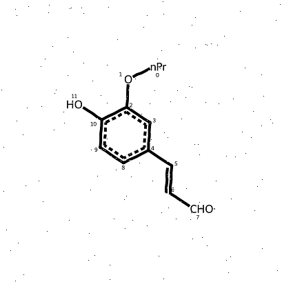 CCCOc1cc(C=C[C]=O)ccc1O